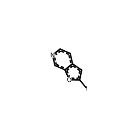 Ic1cc2ccncc2o1